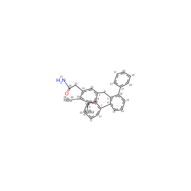 CCCCc1cc(Cc2c(-c3ccccc3)cccc2-c2ccccc2)cc(CC(N)=O)c1CCCC